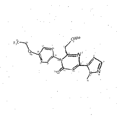 COCc1nc(-c2ccnn2C)cc(=O)n1-c1ccc(OCC(F)(F)F)cc1